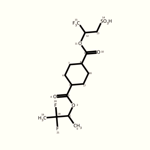 CC(OC(=O)C1CCC(C(=O)OC(CS(=O)(=O)O)C(F)(F)F)CC1)C(C)(F)F